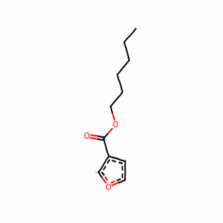 CCCCCCOC(=O)c1[c]occ1